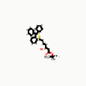 CC(C)(C)OC(=O)C[C@@H](O)/C=C/CCSC(c1ccccc1)(c1ccccc1)c1ccccc1